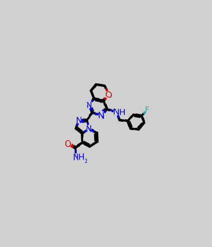 NC(=O)c1cccn2c(-c3nc4c(c(NCc5cccc(F)c5)n3)OCCC4)ncc12